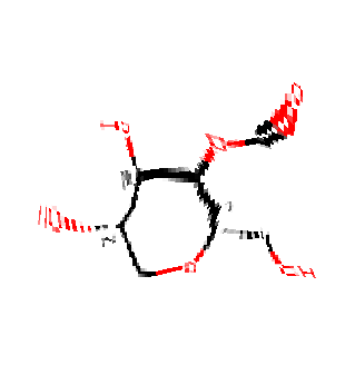 O=COC1[C@H](CO)OC[C@H](O)[C@H]1O